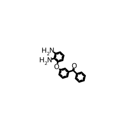 Nc1cccc(Oc2cccc(C(=O)c3ccccc3)c2)c1N